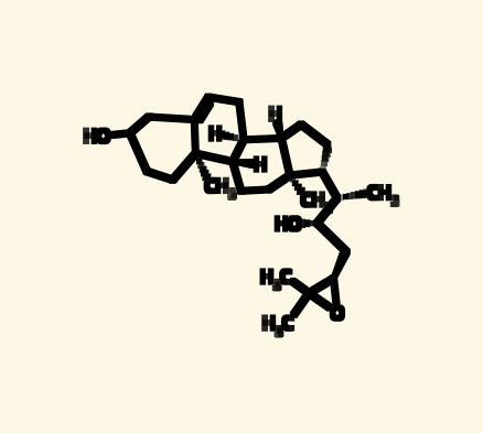 C[C@@H]([C@H]1CC[C@H]2[C@@H]3CC=C4CC(O)CC[C@]4(C)[C@H]3CC[C@]12C)[C@@H](O)C[C@H]1OC1(C)C